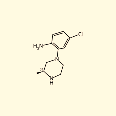 C[C@H]1CN(c2cc(Cl)ccc2N)CCN1